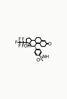 C[C@]12C[C@H](c3ccc(S(C)(=N)=O)cc3)C3=C4CCC(=O)C=C4CCC3C1CC[C@@]2(O)C(F)(F)C(F)(F)F